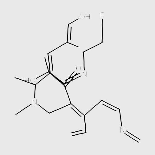 C=CC(/C=C\N=C)=C(\CN(C)C(C)C(/C=N\CCF)=C/C(C)=C/O)C(=O)C(C)O